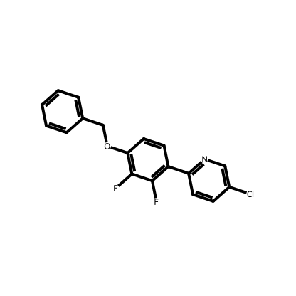 Fc1c(OCc2ccccc2)ccc(-c2ccc(Cl)cn2)c1F